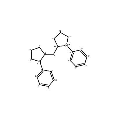 c1ccc(N2CCCC2CC2CCCN2c2ccccc2)cc1